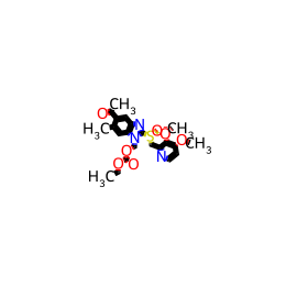 CCOC(=O)OCn1c([S+]([O-])Cc2nccc(OC)c2OC)nc2cc(C(C)=O)c(C)cc21